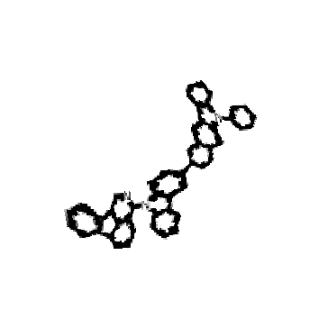 c1ccc(-n2c3ccccc3c3cc4cc(-c5ccc6c(c5)c5ccccc5n6-c5ncc6c7c(cccc57)-c5ccccc5-6)ccc4cc32)cc1